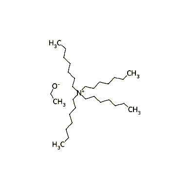 CCCCCCC[N+](CCCCCCC)(CCCCCCC)CCCCCCC.CC[O-]